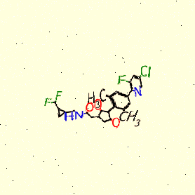 Cc1cc(-c2ncc(Cl)cc2F)cc(C)c1C1C(=O)CC(CC(=O)NCC2CC2C(F)F)C1=O